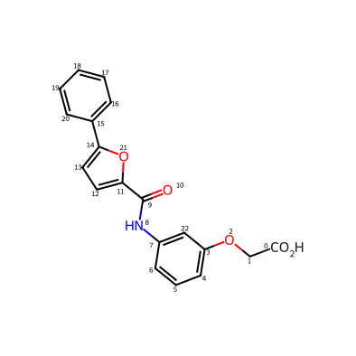 O=C(O)COc1cccc(NC(=O)c2ccc(-c3ccccc3)o2)c1